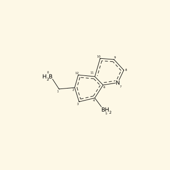 BCc1cc(B)c2ncccc2c1